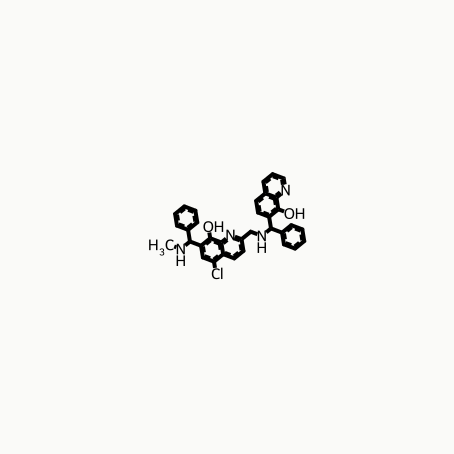 CNC(c1ccccc1)c1cc(Cl)c2ccc(CNC(c3ccccc3)c3ccc4cccnc4c3O)nc2c1O